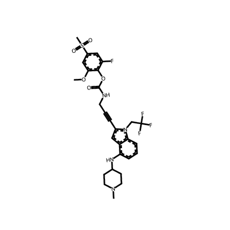 COc1cc(S(C)(=O)=O)cc(F)c1OC(=O)NCC#Cc1cc2c(NC3CCN(C)CC3)cccc2n1CC(F)(F)F